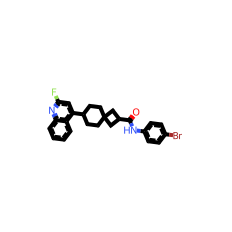 O=C(Nc1ccc(Br)cc1)C1CC2(CCC(c3cc(F)nc4ccccc34)CC2)C1